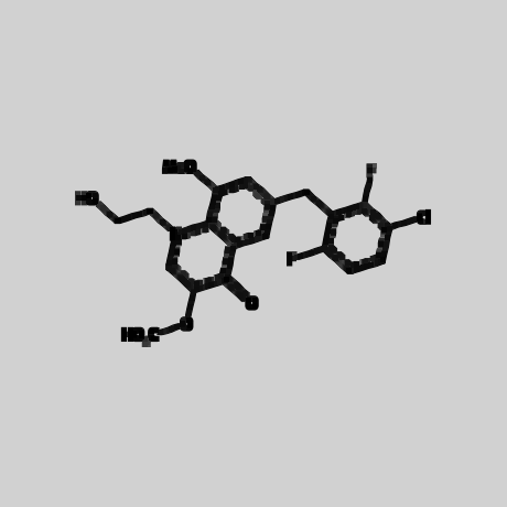 COc1cc(Cc2c(F)ccc(Cl)c2F)cc2c(=O)c(OC(=O)O)cn(CCO)c12